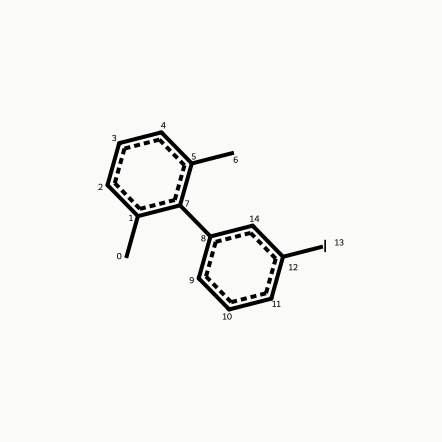 Cc1cccc(C)c1-c1cccc(I)c1